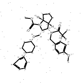 COC(=O)N1[C@@H]2CCC[C@@H]2[C@H](N(Cc2ccc(OC)cc2)C(=O)C(F)(F)F)[C@@H]1CO[C@H]1CC[C@@H](c2ccccc2)CC1